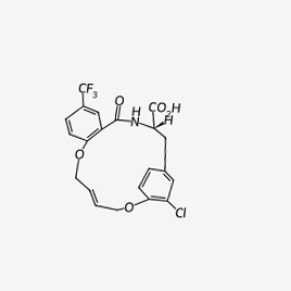 O=C1N[C@H](C(=O)O)Cc2ccc(c(Cl)c2)OCC=CCOc2ccc(C(F)(F)F)cc21